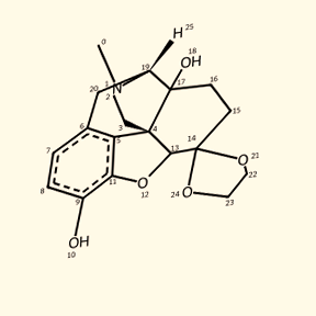 CN1CC[C@]23c4c5ccc(O)c4OC2C2(CCC3(O)[C@H]1C5)OCCO2